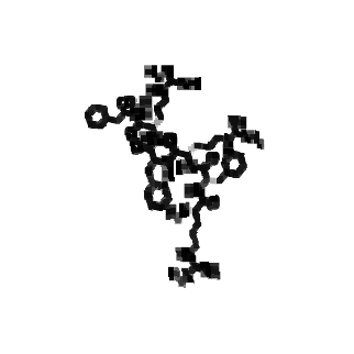 N=C(N)NCCC[C@H](NC(=O)[C@H](Cc1ccccc1)NC(=O)[C@H](CCCNC(=N)N)NC(=O)[C@H](Cc1ccccc1)NC(=O)[C@@H](N)CCCNC(=N)N)C(=O)N[C@@H](Cc1ccccc1)C(=O)O